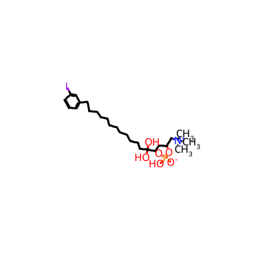 C[N+](C)(C)CC(CCC(O)(O)CCCCCCCCCCCCc1cccc(I)c1)OP(=O)([O-])O